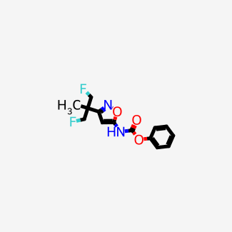 CC(CF)(CF)c1cc(NC(=O)Oc2ccccc2)on1